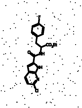 CCOC(=O)C(Cc1ccc(F)cc1)NC(=O)c1cc2ccc(Cl)nc2[nH]1